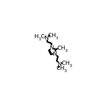 CC1N(CCN(C)C)C=CN1CCN(C)C